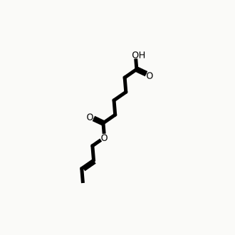 CC=CCOC(=O)CCCCC(=O)O